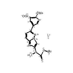 COc1ncc(-c2ccc3nc(N(C)C(=O)OC(C)(C)C)cn3n2)cc1C(=O)[O-].[Li+]